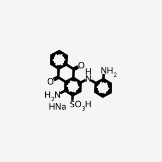 Nc1ccccc1Nc1cc(S(=O)(=O)O)c(N)c2c1C(=O)c1ccccc1C2=O.[NaH]